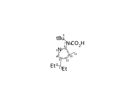 CCC(CC)c1cnc(N(C(=O)O)C(C)(C)C)c(C)c1